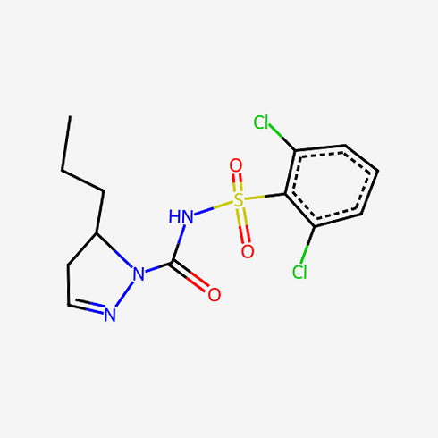 CCCC1CC=NN1C(=O)NS(=O)(=O)c1c(Cl)cccc1Cl